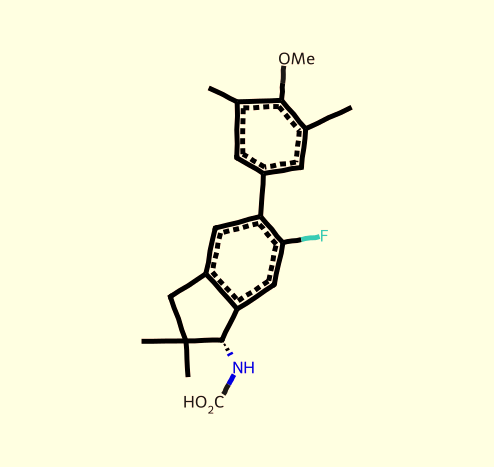 COc1c(C)cc(-c2cc3c(cc2F)[C@H](NC(=O)O)C(C)(C)C3)cc1C